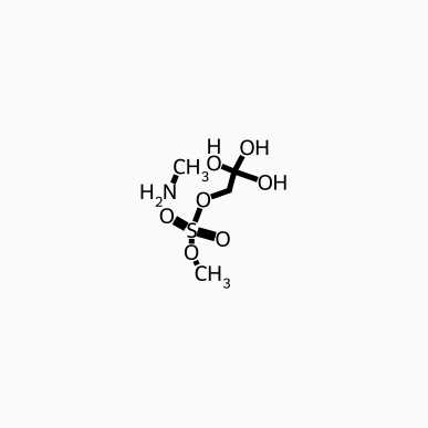 CN.COS(=O)(=O)OCC(O)(O)O